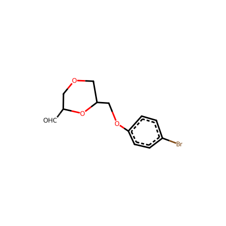 O=CC1COCC(COc2ccc(Br)cc2)O1